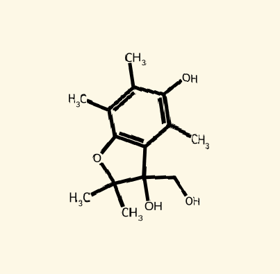 Cc1c(C)c2c(c(C)c1O)C(O)(CO)C(C)(C)O2